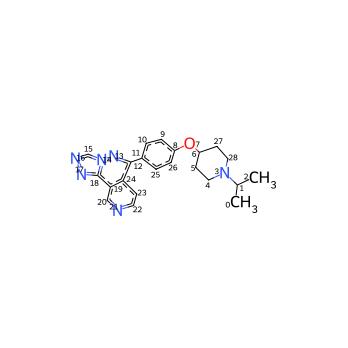 CC(C)N1CCC(Oc2ccc(-c3nn4cnnc4c4cnccc34)cc2)CC1